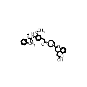 COc1cc(CC(=O)N2CCCN(C(=O)CC(CC(=O)O)c3ccccc3)CC2)ccc1NC(=O)Nc1ccccc1C